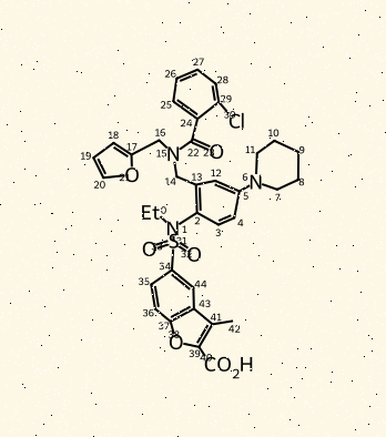 CCN(c1ccc(N2CCCCC2)cc1CN(Cc1ccco1)C(=O)c1ccccc1Cl)S(=O)(=O)c1ccc2oc(C(=O)O)c(C)c2c1